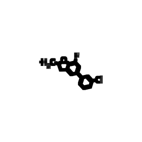 [CH2]C1Cc2cc(-c3cccc(Cl)c3)cc(F)c2O1